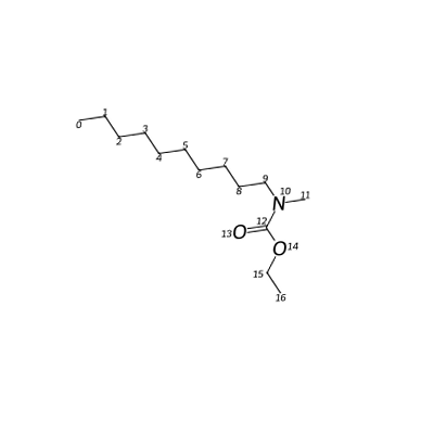 CCCCCCCCCCN(C)C(=O)OCC